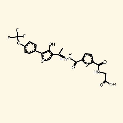 C/C(=N\NC(=O)c1ccc(C(=O)NCC(=O)O)s1)c1csc(-c2ccc(OC(F)(F)F)cc2)c1O